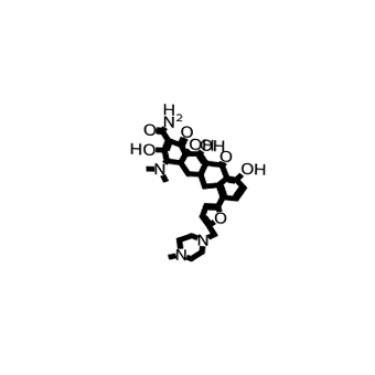 CN1CCN(Cc2ccc(-c3ccc(O)c4c3CC3CC5C(N(C)C)C(O)=C(C(N)=O)C(=O)C5(O)C(O)=C3C4=O)o2)CC1